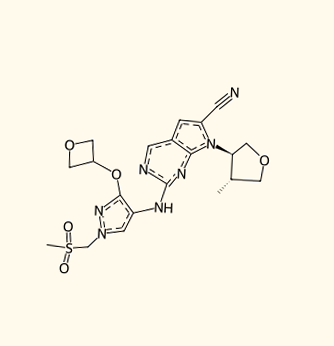 C[C@H]1COC[C@@H]1n1c(C#N)cc2cnc(Nc3cn(CS(C)(=O)=O)nc3OC3COC3)nc21